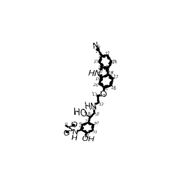 CS(=O)(=O)Nc1cc([C@@H](O)CNCCOc2ccc3c(c2)[nH]c2cc(C#N)ccc23)ccc1O